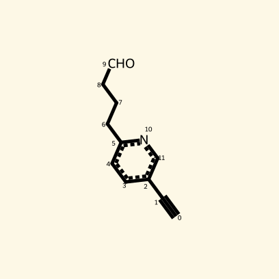 C#Cc1ccc(CCCC=O)nc1